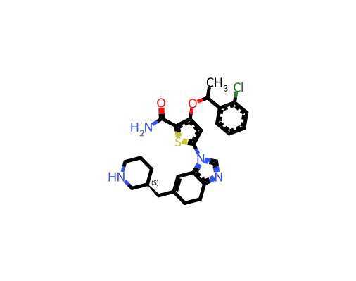 CC(Oc1cc(-n2cnc3c2C=C(C[C@@H]2CCCNC2)CC3)sc1C(N)=O)c1ccccc1Cl